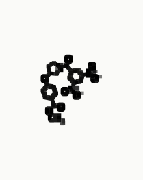 COC(=O)c1ccc(OC2CCN(C(=O)c3cc([N+](=O)[O-])cc([N+](=O)[O-])c3)C2)cc1